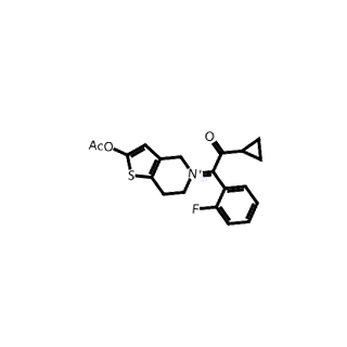 CC(=O)Oc1cc2c(s1)CC/[N+](=C(/C(=O)C1CC1)c1ccccc1F)C2